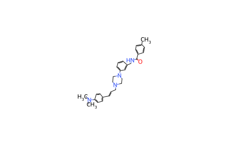 Cc1ccc(C(=O)NCc2cccc(N3CCN(CC=Cc4ccc(N(C)C)cc4)CC3)c2)cc1